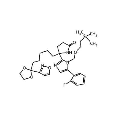 C[Si](C)(C)CCOCn1c(-c2ccccc2F)cnc1C1(CCCCCC2(c3ccon3)OCCO2)CCC(=O)N1